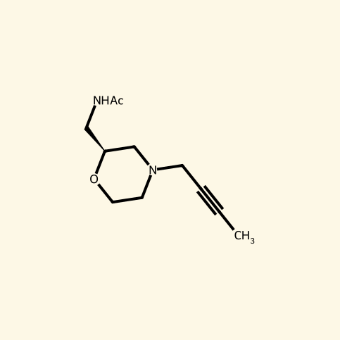 CC#CCN1CCO[C@@H](CNC(C)=O)C1